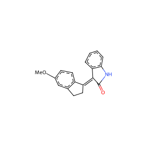 COc1ccc2c(c1)CC/C2=C1\C(=O)Nc2ccccc21